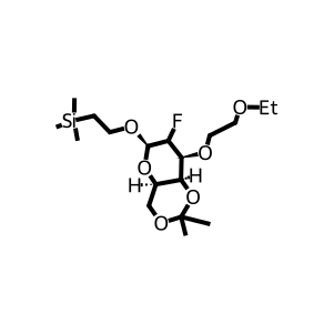 CCOCCO[C@@H]1C(F)[C@H](OCC[Si](C)(C)C)O[C@@H]2COC(C)(C)O[C@H]12